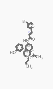 C=CCN1CC[C@@]2(c3cccc(O)c3)C[C@@H](NC(=O)/C=C/c3cc(Br)cs3)CC[C@]2(OC(C)=O)C1